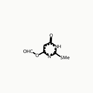 CSc1nc(OC=O)cc(=O)[nH]1